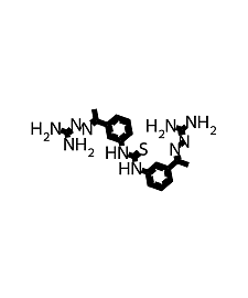 CC(=NN=C(N)N)c1cccc(NC(=S)Nc2cccc(C(C)=NN=C(N)N)c2)c1